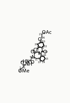 COCCC(=O)NNC(=O)CN1Cc2ccccc2N(C(=O)c2ccc(OCCOC(C)=O)cc2Cl)CC1=O